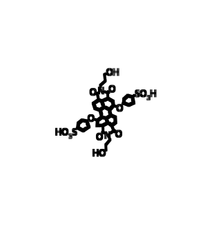 O=C1c2ccc3c4c(Oc5ccc(S(=O)(=O)O)cc5)cc5c6c(ccc(c7c(Oc8ccc(S(=O)(=O)O)cc8)cc(c2c37)C(=O)N1CCCO)c64)C(=O)N(CCCO)C5=O